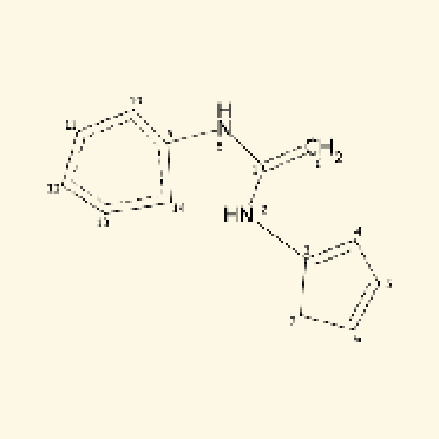 C=C(NC1=CC=CC1)Nc1ccccc1